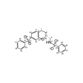 O=S(=O)(NC[C@H]1CCc2ccc(S(=O)(=O)c3ccccc3)cc2O1)c1ccccc1